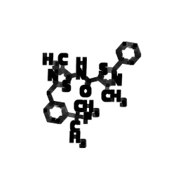 Cc1nc(Cc2cccc(C(C)(C)F)c2)sc1NC(=O)c1sc(-c2ccccc2)nc1C